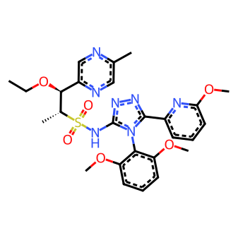 CCO[C@@H](c1cnc(C)cn1)[C@@H](C)S(=O)(=O)Nc1nnc(-c2cccc(OC)n2)n1-c1c(OC)cccc1OC